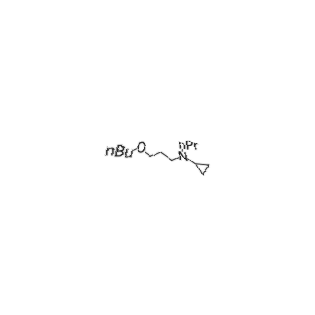 CCCCOCCCN(CCC)C1CC1